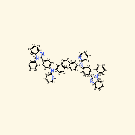 c1ccc(-n2c(-c3ccc(N(c4ccc5c(ccc6cc(N(c7ccc(-c8nc9ccccc9n8-c8ccccc8)cc7)c7ccccn7)ccc65)c4)c4ccccn4)cc3)nc3ccccc32)cc1